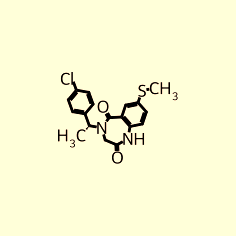 CSc1ccc2c(c1)C(=O)N([C@H](C)c1ccc(Cl)cc1)CC(=O)N2